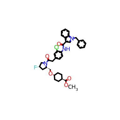 COC(=O)[C@H]1CC[C@H](OC[C@@H]2C[C@H](F)CN2C(=O)Cc2ccc(NC(=O)c3cn(Cc4ccccc4)c4ccccc34)c(Cl)c2)CC1